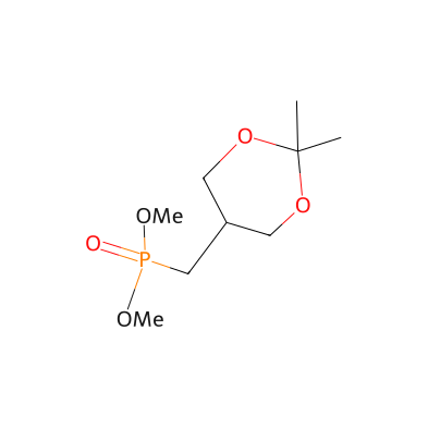 COP(=O)(CC1COC(C)(C)OC1)OC